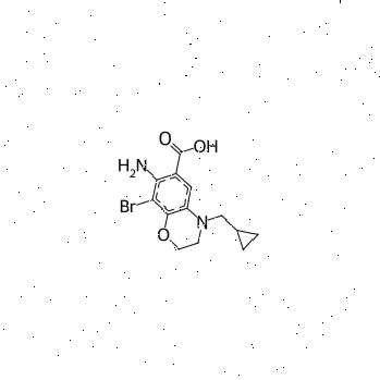 Nc1c(C(=O)O)cc2c(c1Br)OCCN2CC1CC1